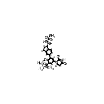 COc1c(-c2ccc3c(c2)CCC3NNS(C)(=O)=O)cc(-n2ccc(=O)[nH]c2=O)cc1C(C)(C)C